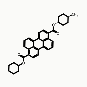 C[C@H]1CC[C@H](OC(=O)c2ccc3c4cccc5c(C(=O)OC6CCCCC6)ccc(c6cccc2c63)c54)CC1